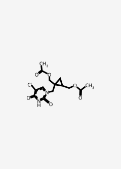 CC(=O)OCC1CC1(COC(C)=O)Cn1cc(Cl)c(=O)[nH]c1=O